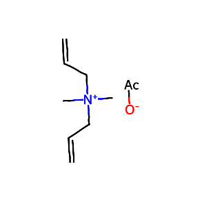 C=CC[N+](C)(C)CC=C.CC(=O)[O-]